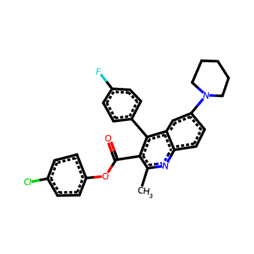 Cc1nc2ccc(N3CCCCC3)cc2c(-c2ccc(F)cc2)c1C(=O)Oc1ccc(Cl)cc1